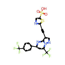 O=S(=O)(O)c1cnc(C#Cc2cnn3c(C(F)(F)F)cc(-c4ccc(C(F)(F)F)cc4)nc23)s1